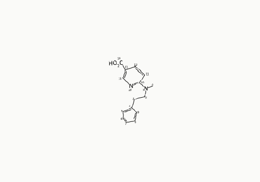 CN(CCc1ccccc1)c1ccc(C(=O)O)cn1